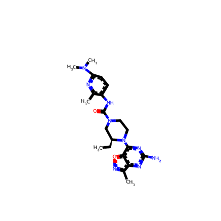 CC[C@H]1CN(C(=O)Nc2ccc(N(C)C)nc2C)CCN1c1nc(N)nc2c(C)noc12